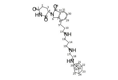 O=C1CCC(N2Cc3c(CCCNCCCNCCNC45CC6CC(CC4C6)C5)cccc3C2=O)C(=O)N1